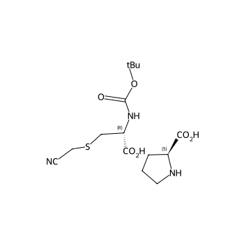 CC(C)(C)OC(=O)N[C@@H](CSCC#N)C(=O)O.O=C(O)[C@@H]1CCCN1